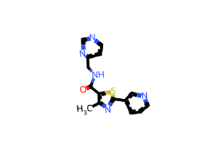 Cc1nc(-c2cccnc2)sc1C(=O)NCc1ccncn1